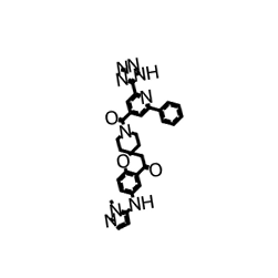 Cn1nccc1Nc1ccc2c(c1)C(=O)CC1(CCN(C(=O)c3cc(-c4ccccc4)nc(-c4nnn[nH]4)c3)CC1)O2